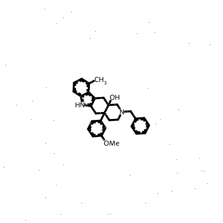 COc1cccc(C23CCN(Cc4ccccc4)CC2(O)Cc2c([nH]c4cccc(C)c24)C3)c1